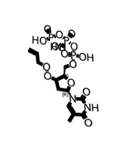 C=CCOOC1C[C@H](n2cc(C)c(=O)[nH]c2=O)O[C@@H]1COP(=O)(O)OP(=O)(O)OP(=O)(O)O